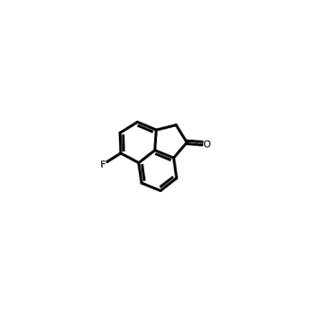 O=C1Cc2ccc(F)c3cccc1c23